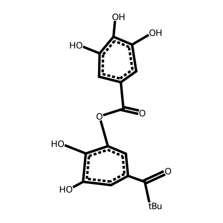 CC(C)(C)C(=O)c1cc(O)c(O)c(OC(=O)c2cc(O)c(O)c(O)c2)c1